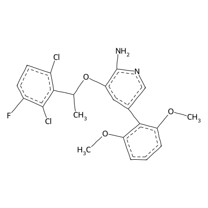 COc1cccc(OC)c1-c1cnc(N)c(OC(C)c2c(Cl)ccc(F)c2Cl)c1